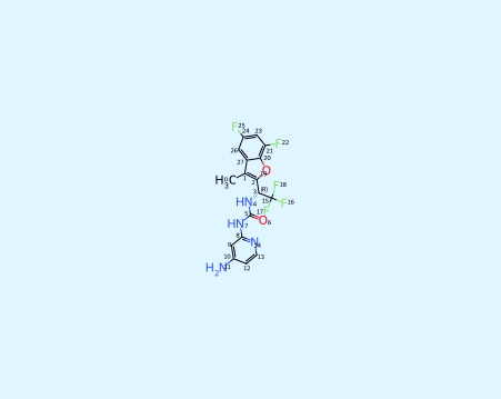 Cc1c([C@@H](NC(=O)Nc2cc(N)ccn2)C(F)(F)F)oc2c(F)cc(F)cc12